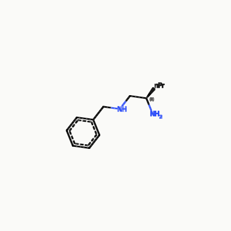 CCC[C@@H](N)CNCc1ccccc1